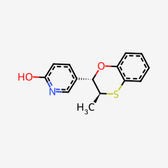 C[C@@H]1Sc2ccccc2O[C@H]1c1ccc(O)nc1